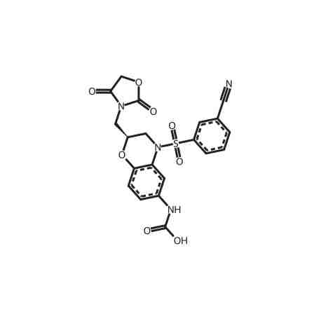 N#Cc1cccc(S(=O)(=O)N2C[C@H](CN3C(=O)COC3=O)Oc3ccc(NC(=O)O)cc32)c1